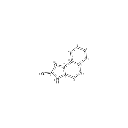 O=c1[nH]c2cnc3ccccc3c2o1